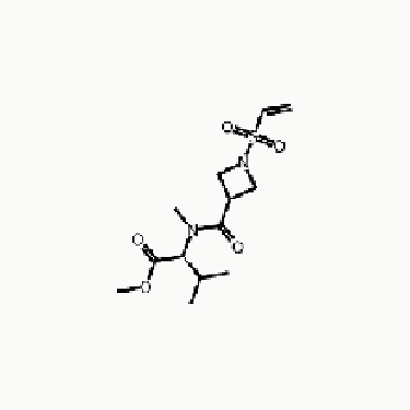 C=CS(=O)(=O)N1CC(C(=O)N(C)[C@H](C(=O)OC)C(C)C)C1